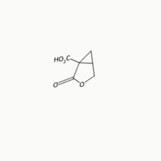 O=C(O)C12CC1COC2=O